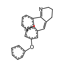 C(=C1\CCCN=C1c1cccnc1)/c1cccc(Oc2ccccc2)c1